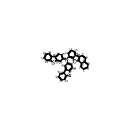 c1ccc2c(c1)ccc1c3cccc(N(c4ccc5c(c4)sc4ccccc45)c4ccc5sc6ccccc6c5c4)c3oc21